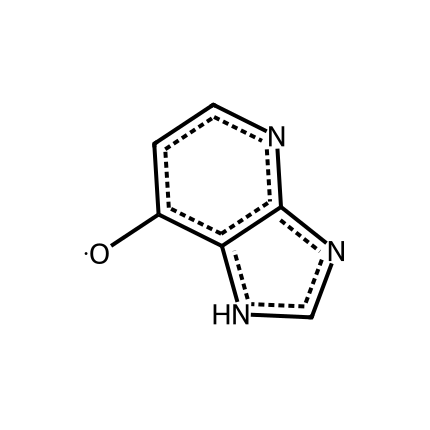 [O]c1ccnc2nc[nH]c12